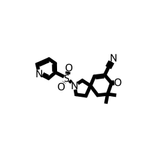 CC1(C)CC2(C=C(C#N)C1=O)CCN(S(=O)(=O)c1cccnc1)C2